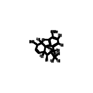 [2H]c1c([2H])c2c3c(c1OC)OC1([2H])C(O)C=C[C@@]4([2H])[C@H](N(C([2H])([2H])[2H])CC[C@]314)C2([2H])[2H]